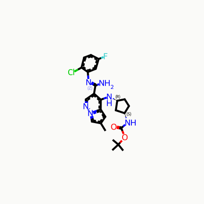 Cc1cc2c(N[C@@H]3CC[C@H](NC(=O)OC(C)(C)C)C3)c(/C(N)=N/c3cc(F)ccc3Cl)cnn2c1